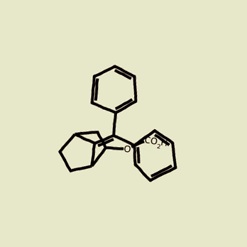 O=C(O)OC1CC2CCC1C2=C(c1ccccc1)c1ccccc1